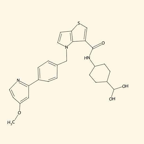 COc1ccnc(-c2ccc(Cn3ccc4scc(C(=O)NC5CCC(C(O)O)CC5)c43)cc2)c1